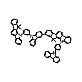 CC1(C)c2ccccc2-c2ccc3c4ccccc4n(-c4cccc(-n5c6ccccc6c6cc(-c7ccc8c(c7)C(C)(C)c7c-8ccc8c9ccccc9n(-c9ccc(-n%10c%11ccccc%11c%11ccccc%11%10)cc9)c78)ccc65)c4)c3c21